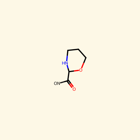 O=NC(=O)C1NCCCO1